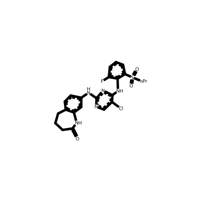 CCCS(=O)(=O)c1cccc(F)c1Nc1nc(Nc2ccc3c(c2)NC(=O)CCC3)ncc1Cl